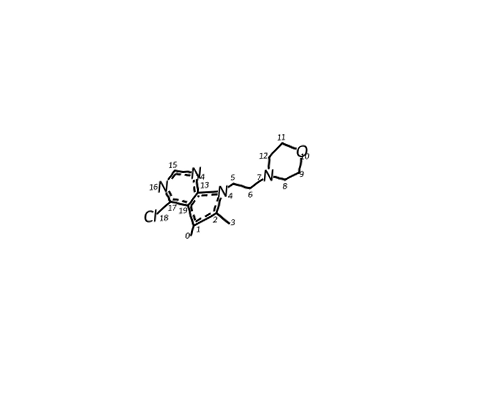 Cc1c(C)n(CCN2CCOCC2)c2ncnc(Cl)c12